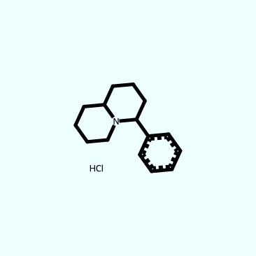 Cl.c1ccc(C2CCCC3CCCCN32)cc1